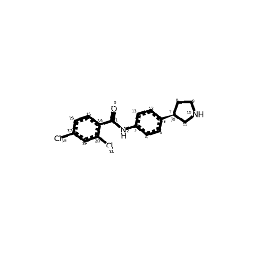 O=C(Nc1ccc([C@H]2CCNC2)cc1)c1ccc(Cl)cc1Cl